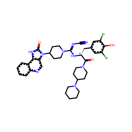 N#CN=C(N[C@H](Cc1cc(Br)c(O)c(Br)c1)C(=O)N1CCC(N2CCCCC2)CC1)N1CCC(n2c(=O)[nH]c3c4ccccc4ncc32)CC1